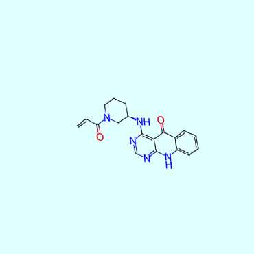 C=CC(=O)N1CCC[C@@H](Nc2ncnc3[nH]c4ccccc4c(=O)c23)C1